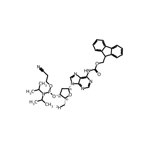 [2H]C[C@H]1O[C@@H](n2cnc3c(NC(=O)OCC4c5ccccc5-c5ccccc54)ncnc32)C[C@H]1OP(OCCC#N)N(C(C)C)C(C)C